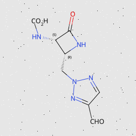 O=Cc1cnn(C[C@H]2NC(=O)[C@H]2NC(=O)O)n1